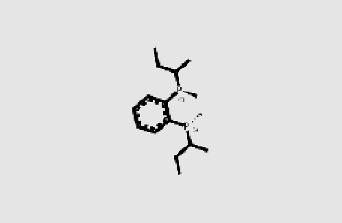 CCC(C)[P@@](C)c1ccccc1[P@](C)C(C)CC